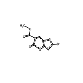 COC(=O)c1cc2sc(Br)cc2oc1=O